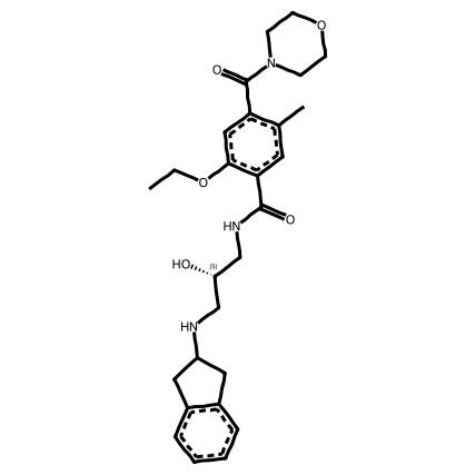 CCOc1cc(C(=O)N2CCOCC2)c(C)cc1C(=O)NC[C@@H](O)CNC1Cc2ccccc2C1